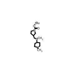 CN1CCC(N(C)CC2CCN(C(=O)OC(C)(C)C)C2)CC1